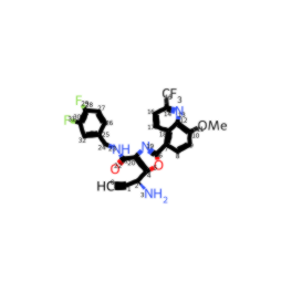 C#C[C@H](N)c1oc(-c2ccc(OC)c3nc(C(F)(F)F)ccc23)nc1C(=O)NCc1ccc(F)c(F)c1